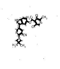 Cc1ncc(Cl)c([C@@H](C)Oc2ccc3[nH]nc(-c4cnc(N5CC(C)(N)C5)c(C#N)c4)c3c2)c1Cl